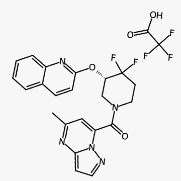 Cc1cc(C(=O)N2CCC(F)(F)[C@@H](Oc3ccc4ccccc4n3)C2)n2nccc2n1.O=C(O)C(F)(F)F